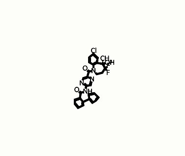 C[C@@]1(O)c2cc(Cl)ccc2N(C(=O)c2cnc(NC(=O)c3ccccc3-c3ccccc3)cn2)CCC1(F)F